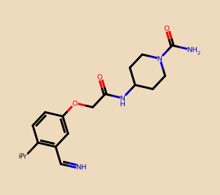 CC(C)c1ccc(OCC(=O)NC2CCN(C(N)=O)CC2)cc1C=N